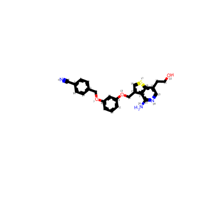 N#Cc1ccc(COc2cccc(OCc3csc4c(CCO)cnc(N)c34)c2)cc1